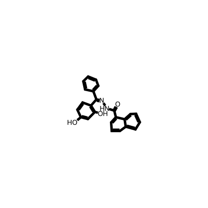 O=C(NN=C(c1ccccc1)c1ccc(O)cc1O)c1cccc2ccccc12